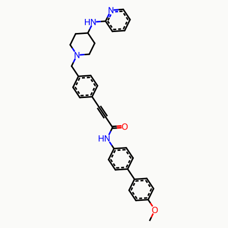 COc1ccc(-c2ccc(NC(=O)C#Cc3ccc(CN4CCC(Nc5ccccn5)CC4)cc3)cc2)cc1